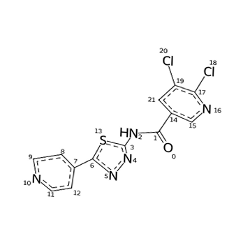 O=C(Nc1nnc(-c2ccncc2)s1)c1cnc(Cl)c(Cl)c1